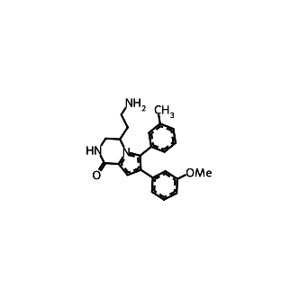 COc1cccc(-c2cc3n(c2-c2cccc(C)c2)C(CCN)CNC3=O)c1